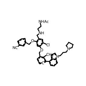 CC(=O)NCCNCc1cc(Cl)c(OCc2cccc(-c3cccc4c3ccn4CCCN3CCCC3)c2C)cc1OCc1cccc(C#N)c1